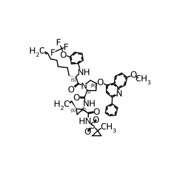 C=CCCCCC[C@H](Nc1cccc(OC(F)(F)F)c1)C(=O)N1C[C@H](Oc2cc(-c3ccccc3)nc3cc(OC)ccc23)C[C@H]1C(=O)N[C@]1(C(=O)NS(=O)(=O)C2(C)CC2)C[C@H]1C=C